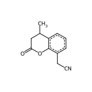 CC1CC(=O)Oc2c(CC#N)cccc21